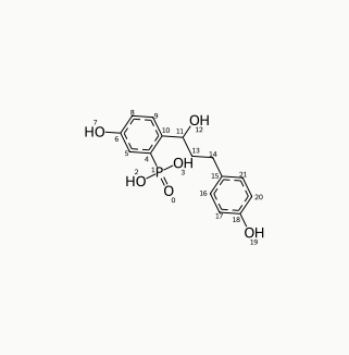 O=P(O)(O)c1cc(O)ccc1C(O)CCc1ccc(O)cc1